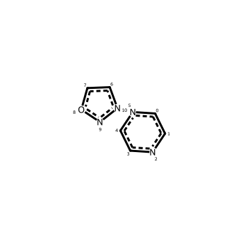 c1cnccn1.c1conn1